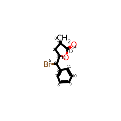 C=C1CC(C(Br)c2ccccc2)OC1=O